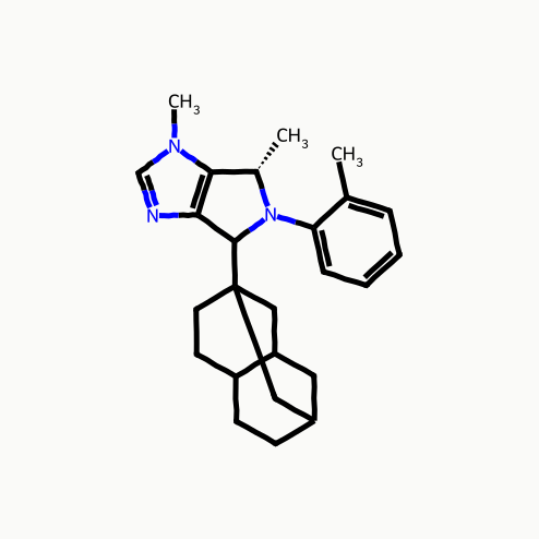 Cc1ccccc1N1C(C23CCC4CCC(CC4C2)C3)c2ncn(C)c2[C@@H]1C